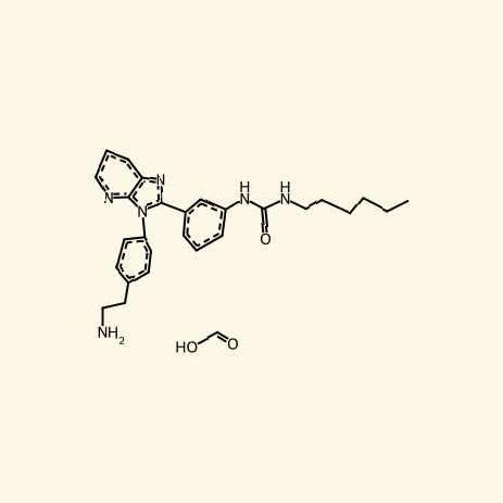 CCCCCCNC(=O)Nc1cccc(-c2nc3cccnc3n2-c2ccc(CCN)cc2)c1.O=CO